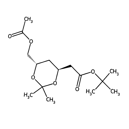 CC(=O)OC[C@@H]1C[C@@H](CC(=O)OC(C)(C)C)OC(C)(C)O1